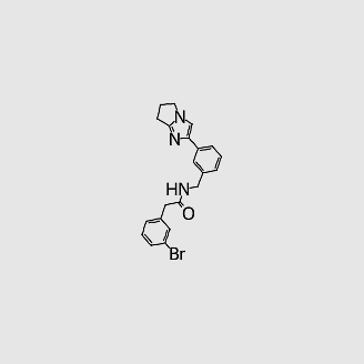 O=C(Cc1cccc(Br)c1)NCc1cccc(-c2cn3c(n2)CCC3)c1